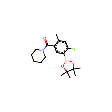 Cc1cc(F)c(B2OC(C)(C)C(C)(C)O2)cc1C(=O)N1CCCCC1